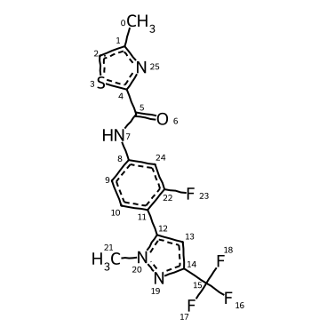 Cc1[c]sc(C(=O)Nc2ccc(-c3cc(C(F)(F)F)nn3C)c(F)c2)n1